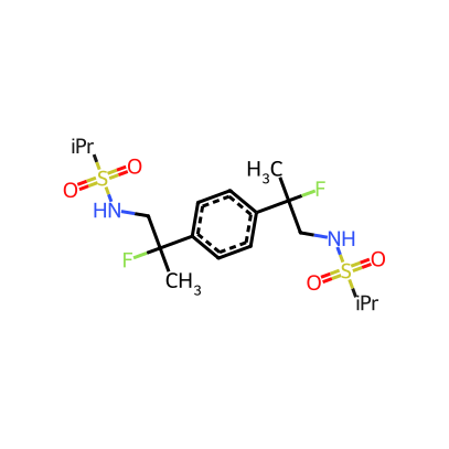 CC(C)S(=O)(=O)NCC(C)(F)c1ccc(C(C)(F)CNS(=O)(=O)C(C)C)cc1